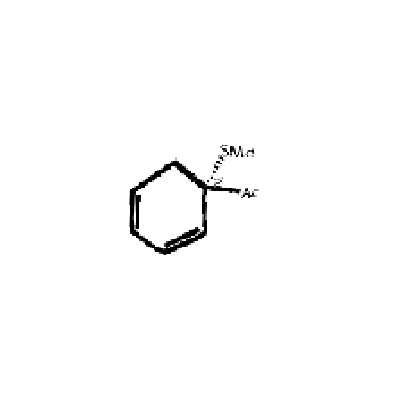 CS[C@]1(C(C)=O)C=CC=CC1